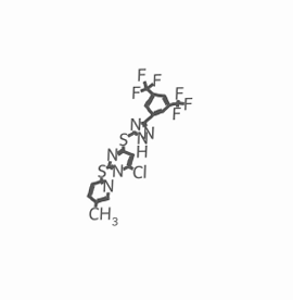 Cc1ccc(Sc2nc(Cl)cc(Sc3nc(-c4cc(C(F)(F)F)cc(C(F)(F)F)c4)n[nH]3)n2)nc1